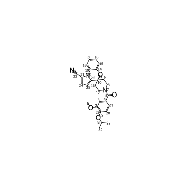 COc1cc(C(=O)N2CCC3(CC2)Oc2ccccc2-n2c(C#N)ccc23)ccc1OC(C)C